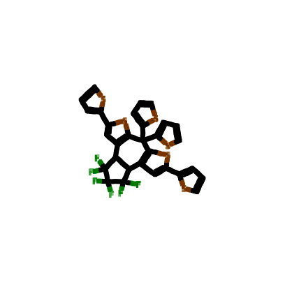 FC1(F)C2c3cc(-c4cccs4)sc3C(c3cccs3)(c3cccs3)c3sc(-c4cccs4)cc3C2C(F)(F)C1(F)F